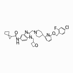 O=C(Nc1ccc2c(c1)nc(CN1CCC(c3cccc(OCc4ccc(Cl)cc4F)n3)CC1)n2CC1CCO1)C1CC12CCC2